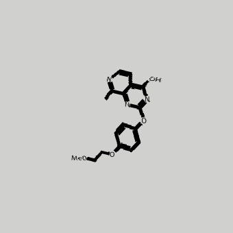 COCCOc1ccc(Oc2nc(O)c3ccnc(C)c3n2)cc1